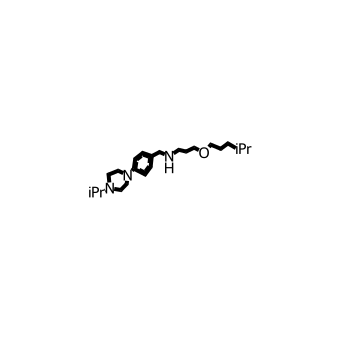 CC(C)CCCOCCCNCc1ccc(N2CCN(C(C)C)CC2)cc1